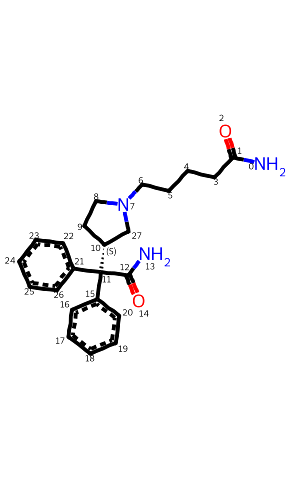 NC(=O)CCCCN1CC[C@@H](C(C(N)=O)(c2ccccc2)c2ccccc2)C1